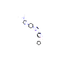 CCN(C(C)=O)C1CCN(C2CCC(n3ccn(-c4ccc(OC5CCCC5)nc4)c3=O)CC2)C1